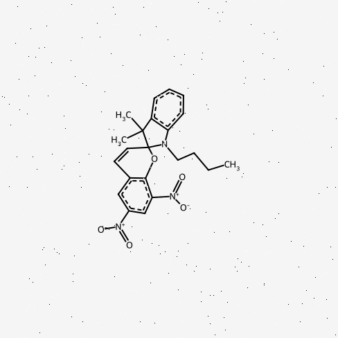 CCCCN1c2ccccc2C(C)(C)C12C=Cc1cc([N+](=O)[O-])cc([N+](=O)[O-])c1O2